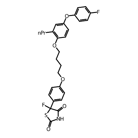 CCCc1cc(Oc2ccc(F)cc2)ccc1OCCCCOc1ccc(C2(F)SC(=O)NC2=O)cc1